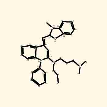 CCCN(CCCN(C)C)C1=CC(=CC2Sc3ccccc3N2C)c2ccccc2N1c1ccccc1